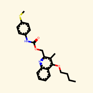 CCCCOc1c(C)c(COC(=O)Nc2ccc(SC)cc2)nc2ccccc12